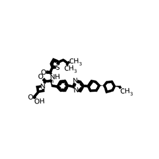 CC[C@H]1CC[C@H](C2CC=C(c3cnc(-c4ccc(C[C@H](NC(=O)c5ccc(CC(C)C)s5)C(=O)N5CC(C(=O)O)C5)cc4)nc3)CC2)CC1